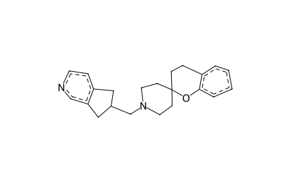 c1ccc2c(c1)CCC1(CCN(CC3Cc4ccncc4C3)CC1)O2